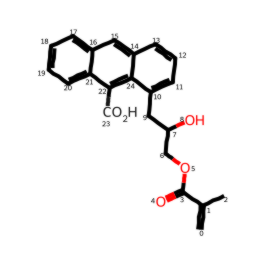 C=C(C)C(=O)OCC(O)Cc1cccc2cc3ccccc3c(C(=O)O)c12